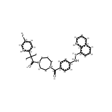 CC(C)(C(=O)N1CCCN(C(=O)c2ccc(NSc3cccc4cccnc34)cc2)CC1)c1ccc(F)cn1